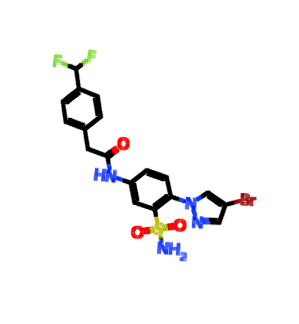 NS(=O)(=O)c1cc(NC(=O)Cc2ccc(C(F)F)cc2)ccc1-n1cc(Br)cn1